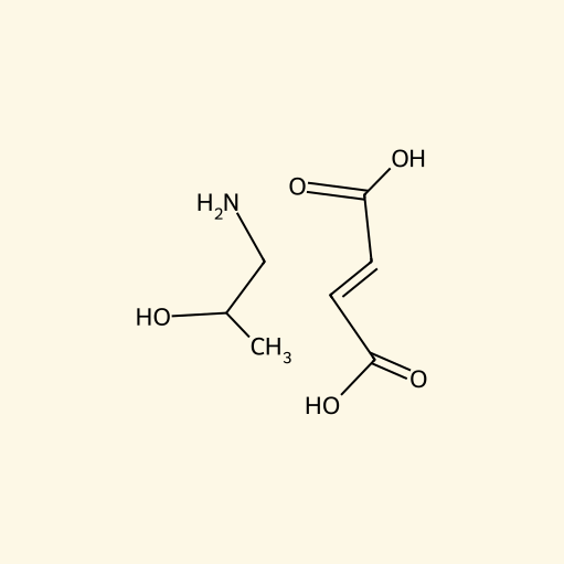 CC(O)CN.O=C(O)/C=C/C(=O)O